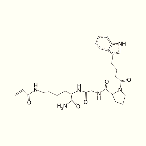 C=CC(=O)NCCCCC(NC(=O)CNC(=O)C1CCCN1C(=O)CCCc1c[nH]c2ccccc12)C(N)=O